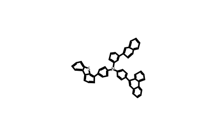 c1cc(-c2ccc3ccccc3c2)cc(N(c2ccc(-c3cc4ccccc4c4ccccc34)cc2)c2ccc(-c3cccc4c3sc3ccccc34)cc2)c1